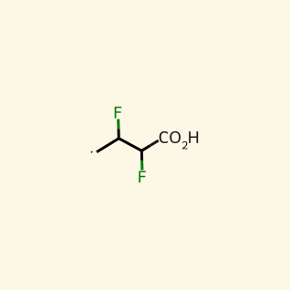 [CH2]C(F)C(F)C(=O)O